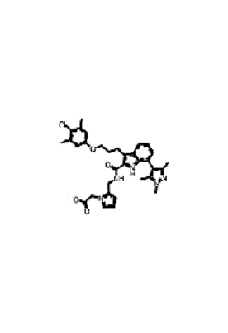 Cc1cc(OCCCc2c(C(=O)NCc3cccn3CC(=O)O)[nH]c3c(-c4c(C)nn(C)c4C)cccc23)cc(C)c1Cl